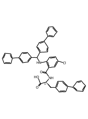 O=C(N[C@@H](Cc1ccc(-c2ccccc2)cc1)C(=O)O)c1cc(Cl)ccc1NC(c1ccc(-c2ccccc2)cc1)c1ccc(-c2ccccc2)cc1